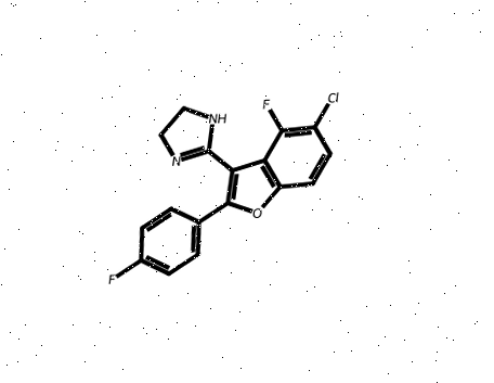 Fc1ccc(-c2oc3ccc(Cl)c(F)c3c2C2=NCCN2)cc1